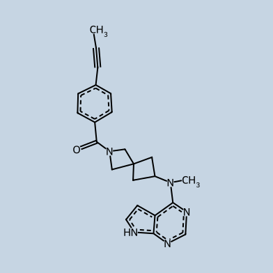 CC#Cc1ccc(C(=O)N2CC3(CC(N(C)c4ncnc5[nH]ccc45)C3)C2)cc1